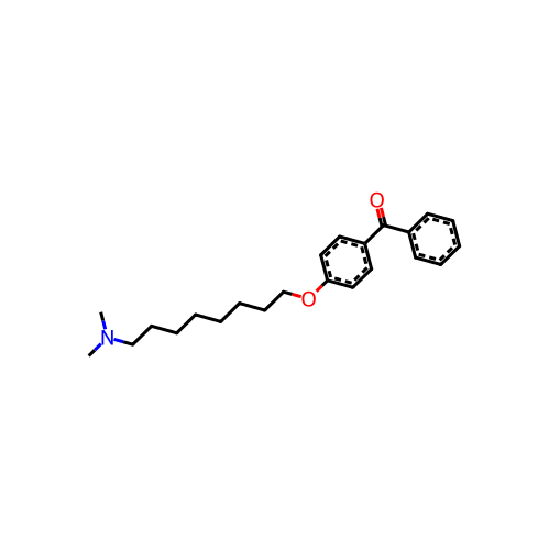 CN(C)CCCCCCCCOc1ccc(C(=O)c2ccccc2)cc1